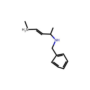 C[SiH2]C=CC(C)NCc1ccccc1